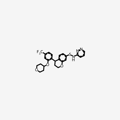 FC(F)(F)c1ccc(C2CCOc3cc(SNc4cccnn4)ccc32)c(OC2CCOCC2)c1